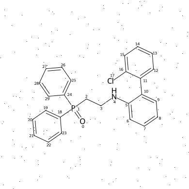 O=P(CCNc1ccccc1-c1ccccc1Cl)(c1ccccc1)c1ccccc1